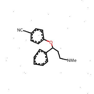 CNCCC(Oc1ccc(C#N)cc1)c1ccccc1